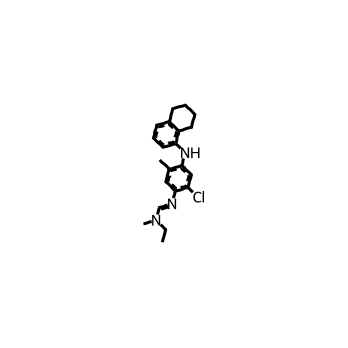 CCN(C)C=Nc1cc(C)c(Nc2cccc3c2CCCC3)cc1Cl